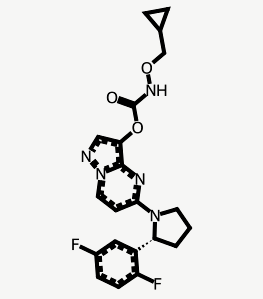 O=C(NOCC1CC1)Oc1cnn2ccc(N3CCC[C@@H]3c3cc(F)ccc3F)nc12